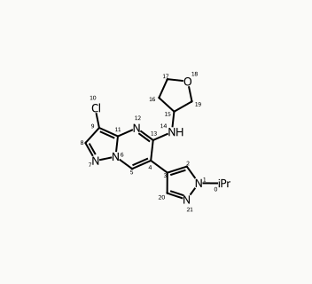 CC(C)n1cc(-c2cn3ncc(Cl)c3nc2NC2CCOC2)cn1